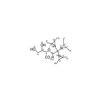 CC1C(C)N1C(C(OCC(O)CO)C(=O)O)(N1C(C)C1C)N1C(C)C1C